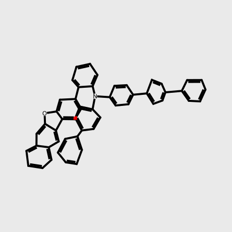 c1ccc(-c2ccc(-c3ccc(N(c4ccc(-c5ccccc5)cc4)c4ccccc4-c4ccc5c(c4)oc4cc6ccccc6cc45)cc3)cc2)cc1